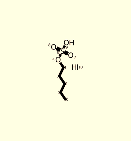 CCCCCOS(=O)(=O)O.I